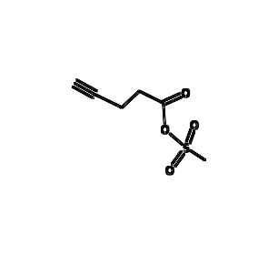 C#CCCC(=O)OS(C)(=O)=O